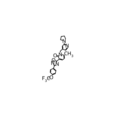 Cc1ccc(-c2nc(-c3ccc(OC(F)(F)F)cc3)no2)c(=O)n1Cc1ccnc(N2CCCC2)c1